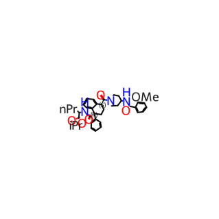 CCCC(NC(=O)[C@@]1(c2ccccc2)CC[C@H](C(=O)N2CCC(NC(=O)c3ccccc3OC)CC2)c2ccccc21)C(=O)OC(C)C